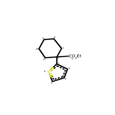 CCOC(=O)C1(c2cccs2)CCCCC1